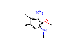 CNc1cc(C)c(C)c(N)c1OC